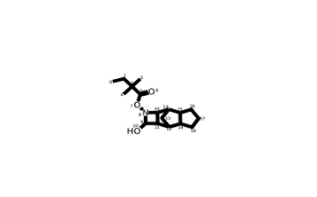 CCC(C)(C)C(=O)ON1C(O)C2C3CC(C4CCCC43)C21